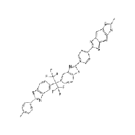 Cc1ccc(-c2nc3cc(C(c4ccc5sc(-c6ccc(-c7nc8cc9sc(C)nc9cc8s7)cc6)nc5c4)(C(F)(F)F)C(F)(F)F)ccc3s2)cc1